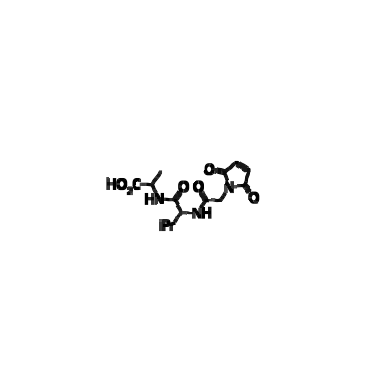 CC(NC(=O)C(NC(=O)CN1C(=O)C=CC1=O)C(C)C)C(=O)O